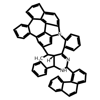 CC1c2cc3c4c5c6c(cccc6ccc5n(c4c2)-c2ccccc2C2=NC(c4cccc5ccc6ccccc6c45)NC(c4ccccc4)[C@@H]21)-c1ccccc1-3